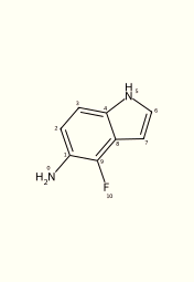 Nc1ccc2[nH]ccc2c1F